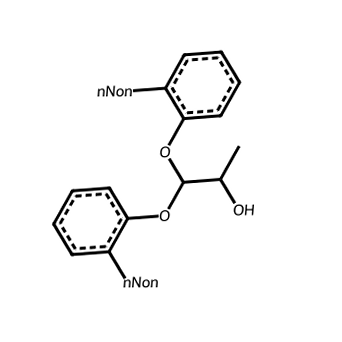 CCCCCCCCCc1ccccc1OC(Oc1ccccc1CCCCCCCCC)C(C)O